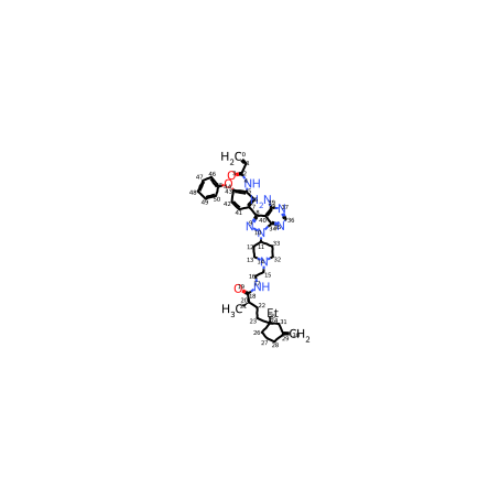 C=CC(=O)Nc1cc(-c2nn(C3CCN(CCNC(=O)[C@H](C)CCC4(CC)CCCC(=C)C4)CC3)c3ncnc(N)c23)ccc1Oc1ccccc1